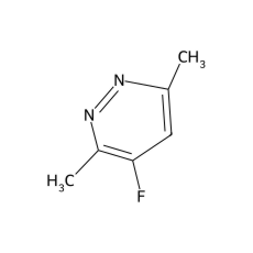 Cc1cc(F)c(C)nn1